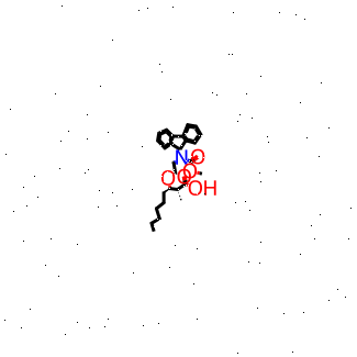 CCCCCC[C@@H](OCCN(C(=O)OC)C1c2ccccc2-c2ccccc21)[C@@H](C)C(=O)O